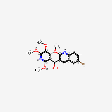 COc1cc(C(O)c2cc3cc(Br)ccc3nc2OC)c(OC)nc1OC